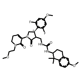 COCCN1CCC=C(N2C[C@@H](c3c(F)cc(OC)cc3F)C(CNC(=O)NC3CCc4cc(OC)ccc4C3(C)C)C2=O)C1=O